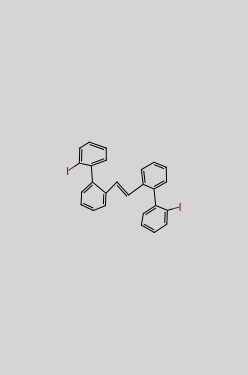 Ic1ccccc1-c1ccccc1/C=C/c1ccccc1-c1ccccc1I